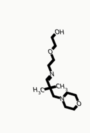 CC(C)(C=NCCOCCO)CN1CCOCC1